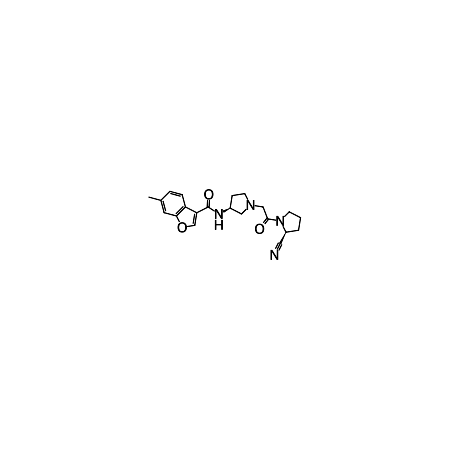 Cc1ccc2c(C(=O)N[C@H]3CCN(CC(=O)N4CCC[C@H]4C#N)C3)coc2c1